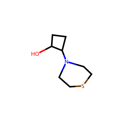 OC1CCC1N1CCSCC1